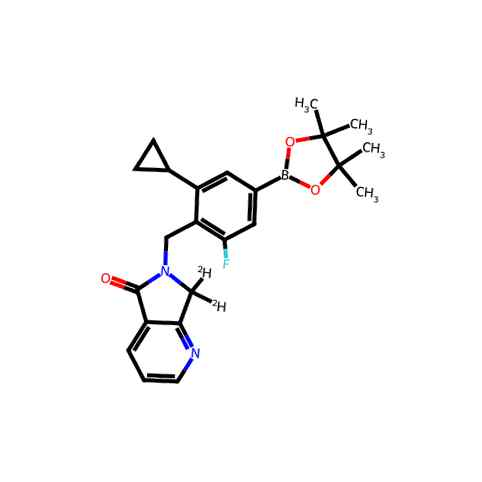 [2H]C1([2H])c2ncccc2C(=O)N1Cc1c(F)cc(B2OC(C)(C)C(C)(C)O2)cc1C1CC1